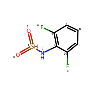 O=[SH](=O)Nc1c(F)cccc1F